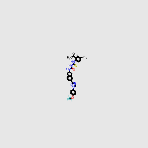 Cc1ccc(NC(=S)NC(=O)NC2Cc3ccc(-c4ncn(-c5ccc(OC(F)(F)F)cc5)n4)cc3C2)c(C(C)C)c1